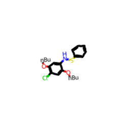 CCCCOc1cc(NSc2ccccc2)c(OCCCC)cc1Cl